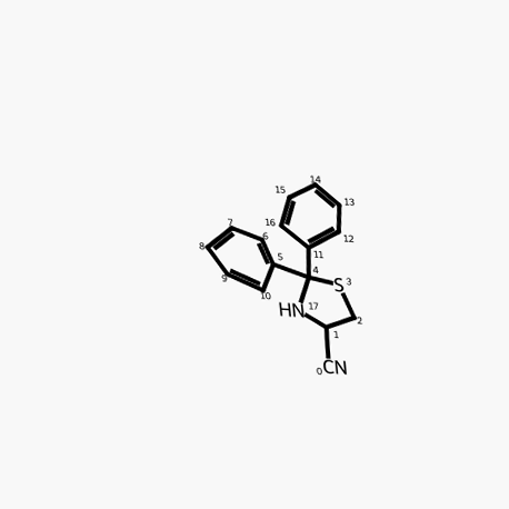 N#CC1CSC(c2ccccc2)(c2ccccc2)N1